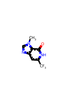 Cn1cnc2cc(C(F)(F)F)[nH]c(=O)c21